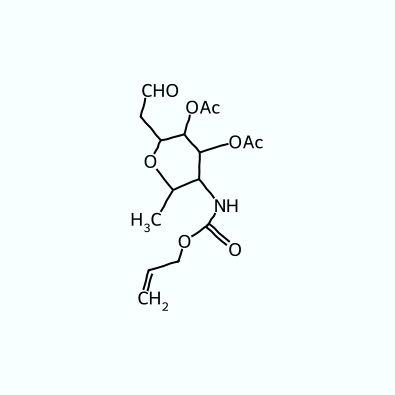 C=CCOC(=O)NC1C(C)OC(CC=O)C(OC(C)=O)C1OC(C)=O